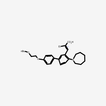 CCCCOCCOc1ccc(-c2ccc(N3CCCCCC3)c(/C=C(\CC)C(=O)O)c2)cc1